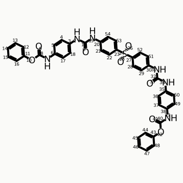 O=C(Nc1ccc(NC(=O)Oc2ccccc2)cc1)Nc1ccc(S(=O)(=O)c2ccc(NC(=O)Nc3ccc(NC(=O)Oc4ccccc4)cc3)cc2)cc1